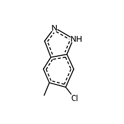 Cc1cc2cn[nH]c2cc1Cl